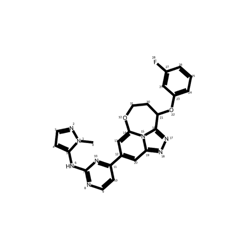 Cn1nccc1Nc1nccc(-c2cc3n4c(nnc4c2)C(Oc2cccc(F)c2)CCO3)n1